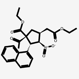 CCOC(=O)C[C@@H]1C[C@@](C(C)=O)(C(=O)OCC)[C@@H](c2cccc3ccccc23)[C@@H]1[N+](=O)[O-]